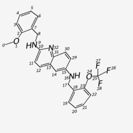 COc1ccccc1CNc1ccc2cc(NCc3ccccc3OC(F)(F)F)ccc2n1